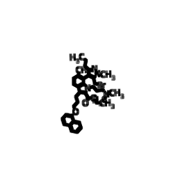 CCCc1nn(C)c(CBr)c1-c1c(C)ccc2c(CCCOc3cccc4ccccc34)c(C(=O)OCC)n(CCCN(C)C)c12